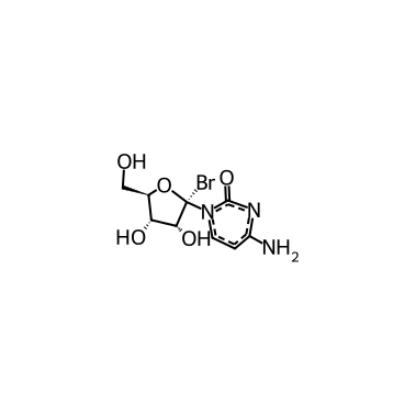 Nc1ccn([C@]2(Br)O[C@H](CO)[C@@H](O)[C@H]2O)c(=O)n1